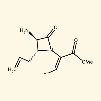 C=CC[C@@H]1[C@@H](N)C(=O)N1/C(=C\CC)C(=O)OC